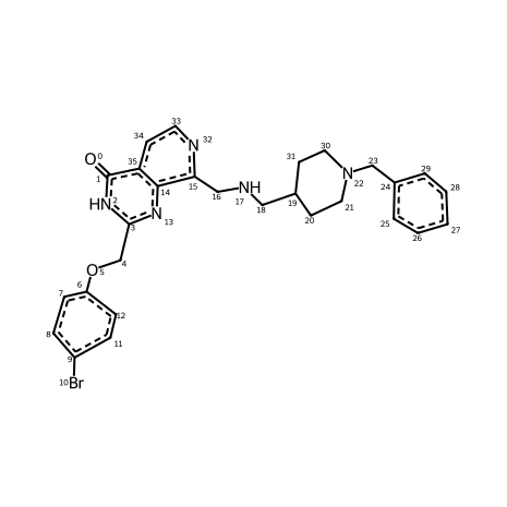 O=c1[nH]c(COc2ccc(Br)cc2)nc2c(CNCC3CCN(Cc4ccccc4)CC3)nccc12